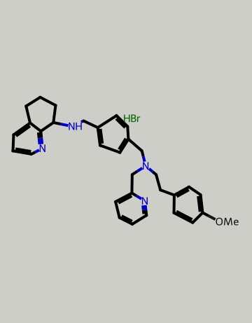 Br.COc1ccc(CCN(Cc2ccc(CNC3CCCc4cccnc43)cc2)Cc2ccccn2)cc1